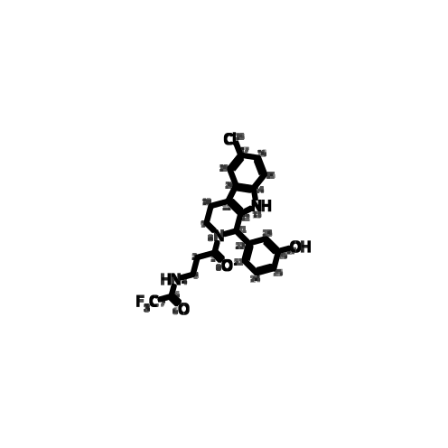 O=C(CCNC(=O)C(F)(F)F)N1CCc2c([nH]c3ccc(Cl)cc23)C1c1cccc(O)c1